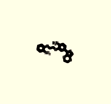 Nc1ccccc1OCCOc1cc(-c2s[c]c3c2OCCO3)ccc1N